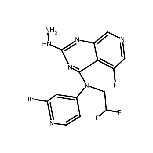 NNc1nc(N(CC(F)F)c2ccnc(Br)c2)c2c(F)cncc2n1